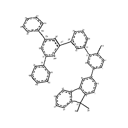 Cc1ccc(-c2ccc3c(c2)-c2ccccc2C3(C)C)cc1-c1cccc(-c2cc(-c3ccccc3)cc(-c3ccccc3)n2)c1